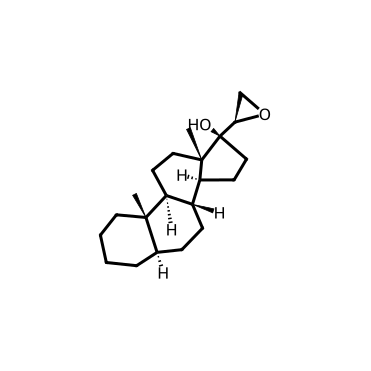 C[C@]12CCCC[C@@H]1CC[C@@H]1[C@@H]2CC[C@@]2(C)[C@H]1CC[C@@]2(O)[C@H]1CO1